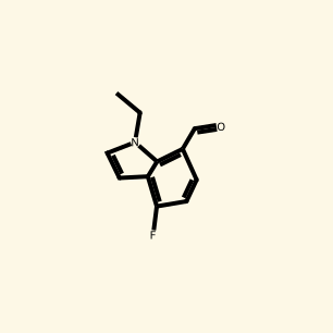 CCn1ccc2c(F)ccc(C=O)c21